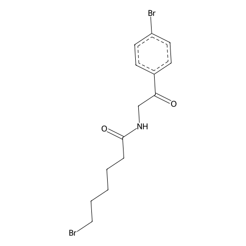 O=C(CCCCCBr)NCC(=O)c1ccc(Br)cc1